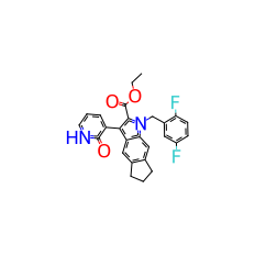 CCOC(=O)c1c(-c2ccc[nH]c2=O)c2cc3c(cc2n1Cc1cc(F)ccc1F)CCC3